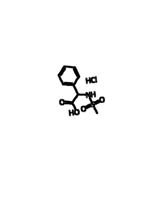 CS(=O)(=O)NC(C(=O)O)c1ccccc1.Cl